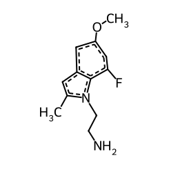 COc1cc(F)c2c(c1)cc(C)n2CCN